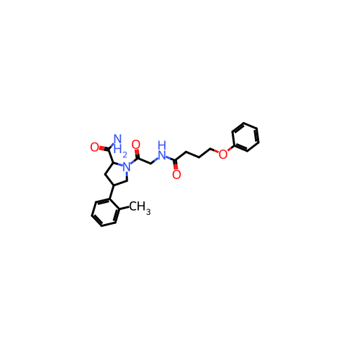 Cc1ccccc1C1CC(C(N)=O)N(C(=O)CNC(=O)CCCOc2ccccc2)C1